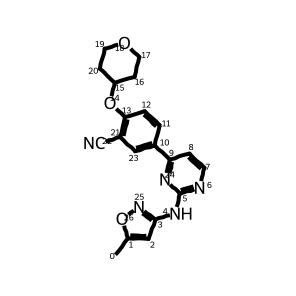 Cc1cc(Nc2nccc(-c3ccc(OC4CCOCC4)c(C#N)c3)n2)no1